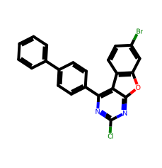 Clc1nc(-c2ccc(-c3ccccc3)cc2)c2c(n1)oc1cc(Br)ccc12